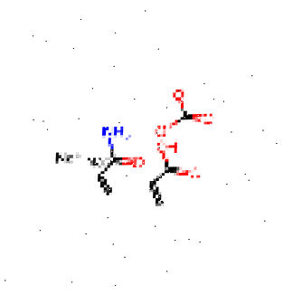 C=CC(=O)O.C=CC(N)=O.O=C([O-])[O-].[Na+].[Na+]